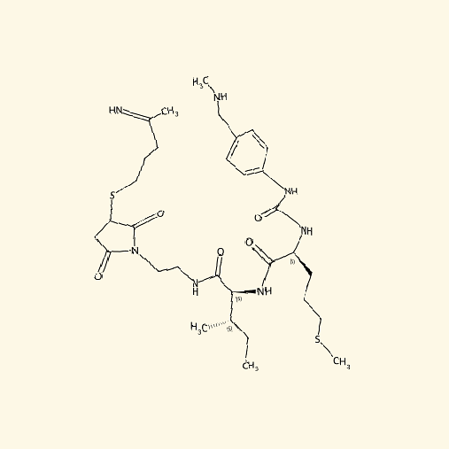 CC[C@H](C)[C@H](NC(=O)[C@H](CCCSC)NC(=O)Nc1ccc(CNC)cc1)C(=O)NCCN1C(=O)CC(SCCCC(C)=N)C1=O